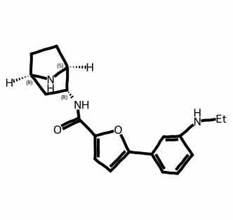 CCNc1cccc(-c2ccc(C(=O)N[C@@H]3C[C@H]4CC[C@@H]3N4)o2)c1